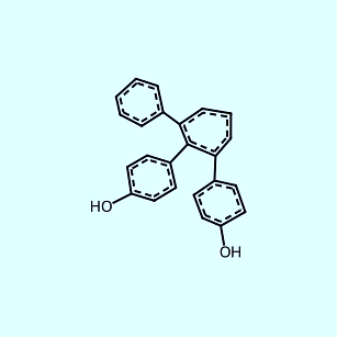 Oc1ccc(-c2cccc(-c3ccccc3)c2-c2ccc(O)cc2)cc1